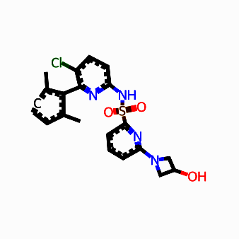 Cc1cccc(C)c1-c1nc(NS(=O)(=O)c2cccc(N3CC(O)C3)n2)ccc1Cl